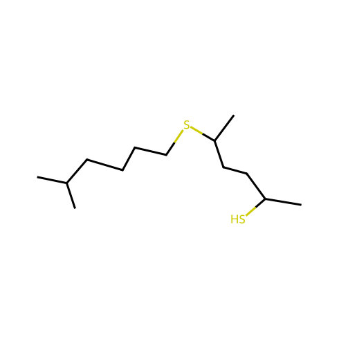 CC(C)CCCCSC(C)CCC(C)S